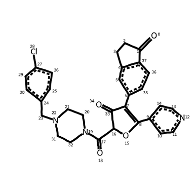 O=C1CCc2cc(C3=C(c4ccncc4)OC(C(=O)N4CCN(Cc5ccc(Cl)cc5)CC4)C3=O)ccc21